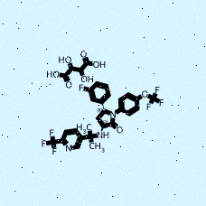 CC(C)(N[C@@H]1C[C@H](c2cccc(F)c2)N(c2ccc(OC(F)(F)F)cc2)C1=O)c1ccc(C(F)(F)F)nc1.O=C(O)C(O)C(O)C(=O)O